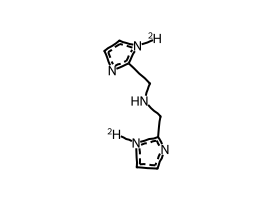 [2H]n1ccnc1CNCc1nccn1[2H]